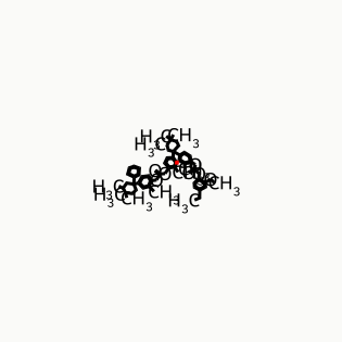 CCc1ccc(OC(=O)Oc2ccc(C3(c4ccc(OC(=O)Oc5ccc(C6(c7ccccc7)CCC(C)(C)C(C)C6)cc5C)c(C)c4)CCC(C)(C)C(C)C3)cc2C)c(OC)c1